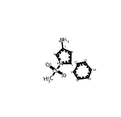 CS(=O)(=O)n1ccc(N)c1.c1ccccc1